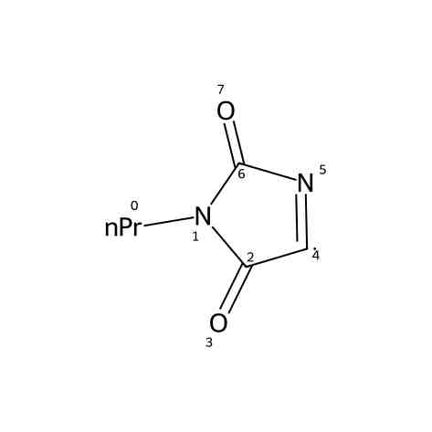 CCCN1C(=O)[C]=NC1=O